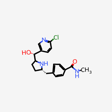 CNC(=O)c1ccc(C[C@@H]2CCC([C@H](O)c3ccc(Cl)nc3)N2)cc1